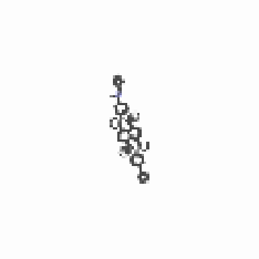 C/C(=C\C1C=CC=C1)c1ccc(N2C(=O)c3ccc4c5c(ccc(c35)C2=O)C(=O)N(c2ccc(C3=CCC=C3)cc2)C4=O)cc1